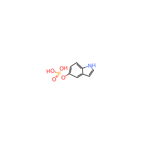 O=P(O)(O)Oc1ccc2[nH]ccc2c1